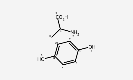 CC(N)C(=O)O.Oc1ccc(O)cc1